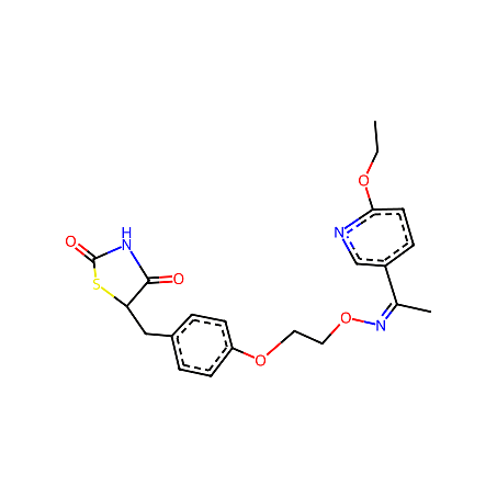 CCOc1ccc(/C(C)=N\OCCOc2ccc(CC3SC(=O)NC3=O)cc2)cn1